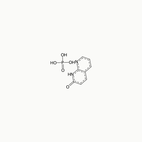 O=P(O)(O)O.O=c1ccc2cccnc2[nH]1